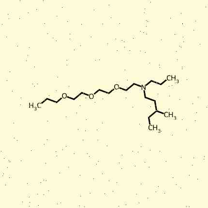 CCCOCCOCCOCCN(CCC)CCC(C)CC